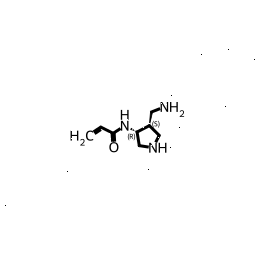 C=CC(=O)N[C@H]1CNC[C@@H]1CN